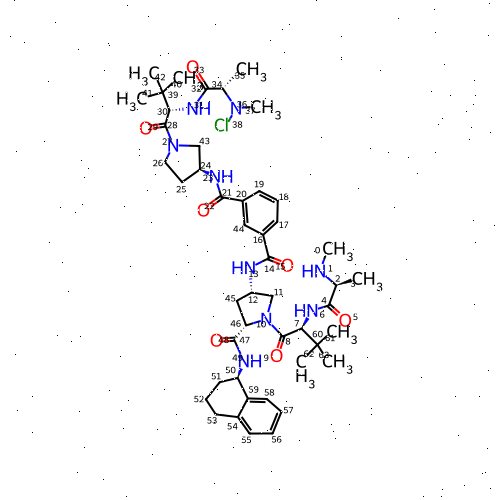 CN[C@@H](C)C(=O)N[C@H](C(=O)N1C[C@@H](NC(=O)c2cccc(C(=O)N[C@H]3CCN(C(=O)[C@@H](NC(=O)[C@H](C)N(C)Cl)C(C)(C)C)C3)c2)C[C@H]1C(=O)N[C@@H]1CCCc2ccccc21)C(C)(C)C